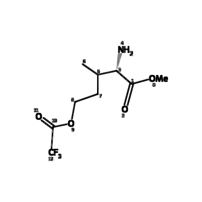 COC(=O)[C@@H](N)C(C)CCOC(=O)C(F)(F)F